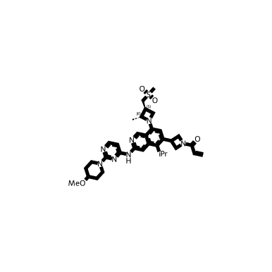 C=CC(=O)N1CC(c2cc(N3C[C@H](CS(C)(=O)=O)[C@H]3C)c3cnc(Nc4ccnc(N5CCC(OC)CC5)n4)cc3c2C(C)C)C1